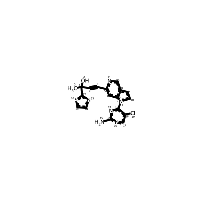 CC(O)(C#Cc1cc2c(ccn2-c2nc(N)ncc2Cl)cn1)c1nccs1